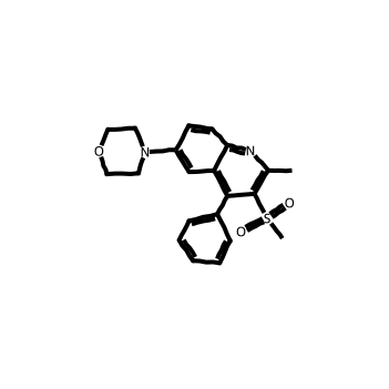 Cc1nc2ccc(N3CCOCC3)cc2c(-c2ccccc2)c1S(C)(=O)=O